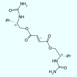 CC(C)[C@@H](COC(=O)/C=C/C(=O)OC[C@@H](NC(N)=O)C(C)C)NC(N)=O